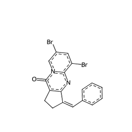 O=c1c2c(nc3c(Br)cc(Br)cn13)/C(=C\c1ccccc1)CC2